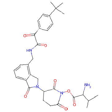 CC(C)C(N)C(=O)ON1C(=O)CCC(N2Cc3c(CNC(=O)C(=O)c4ccc(C(C)(C)C)cc4)cccc3C2=O)C1=O